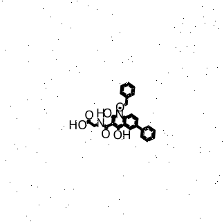 O=C(O)CNC(=O)c1c(O)c2cc(-c3ccccc3)ccc2n(OCc2ccccc2)c1=O